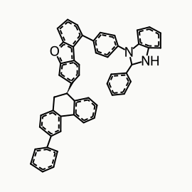 c1ccc(-c2ccc3c(c2)-c2ccccc2[C@H](c2ccc4c(c2)oc2cccc(-c5ccc(N6c7ccccc7NC6c6ccccc6)cc5)c24)C3)cc1